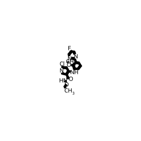 CCONC(=O)c1cnc(Cl)cc1Nc1cccc(-c2ncc(F)cn2)c1OC